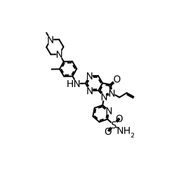 C=CCn1c(=O)c2cnc(Nc3ccc(N4CCN(C)CC4)c(C)c3)nc2n1-c1cccc(S(N)(=O)=O)n1